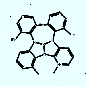 Cc1cccc2c1N1B(N2c2c(C(C)C)cccc2C(C)C)N(c2c(C(C)C)cccc2C(C)C)c2ccc[n+](C)c21